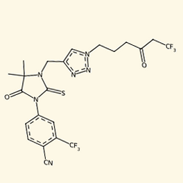 CC1(C)C(=O)N(c2ccc(C#N)c(C(F)(F)F)c2)C(=S)N1Cc1cn(CCCC(=O)CC(F)(F)F)nn1